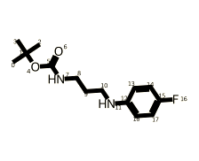 CC(C)(C)OC(=O)NCCCNc1ccc(F)cc1